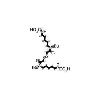 CC(C)(C)N(CCCCCNC(=O)O)C(=O)CSSCC(=O)N(CCCCCNC(=O)O)C(C)(C)C